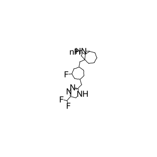 CCCC1C2CCCCC1(CC1CCC(CC3=NN=C(C(F)F)CN3)CC(F)C1)CN2